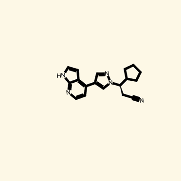 N#CC[C@H](C1CCCC1)n1cc(-c2ccnc3[nH]ccc23)cn1